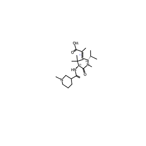 C=C(N[C@H](C(=O)N(C)[C@H](/C=C(\C)C(=O)O)C(C)C)C(C)(C)C)C1CCCN(C)C1